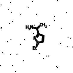 CCn1ccc(C(C)N)n1